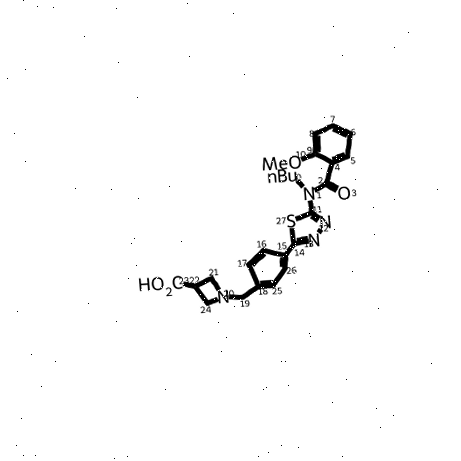 CCCCN(C(=O)c1ccccc1OC)c1nnc(-c2ccc(CN3CC(C(=O)O)C3)cc2)s1